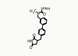 CCCCCCC(=O)N(C)Cc1cccc(-c2ccc(CC3CC(=O)NC3=O)cc2)c1